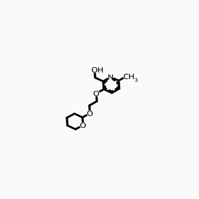 Cc1ccc(OCCOC2CCCCO2)c(CO)n1